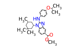 COC(=O)c1ccc2c(c1)nc(Nc1ccc(OC(C)C)cc1)n2C1CC(C)CC(C)(C)C1